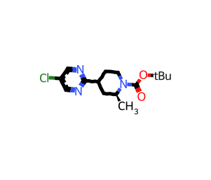 C[C@H]1CC(c2ncc(Cl)cn2)CCN1C(=O)OC(C)(C)C